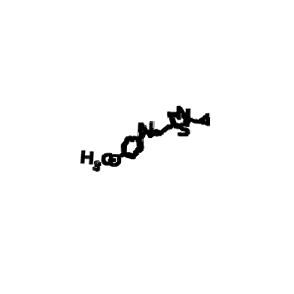 COc1ccc(/N=C/c2cnc(C3CC3)s2)cc1